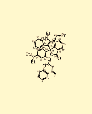 C=CCC(Oc1ccccc1)Oc1cc(N(CC)CC)ccc1C1(c2c(CCC(C)C)n(CC)c3ccccc23)OC(=O)c2cccnc21